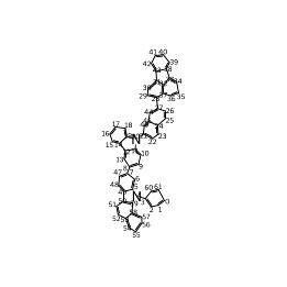 c1ccc(-n2c3cc(-c4ccc5c(c4)c4ccccc4n5-c4ccc5ccc(-c6ccc7c8c(cccc68)-c6ccccc6-7)cc5c4)ccc3c3ccc4ccccc4c32)cc1